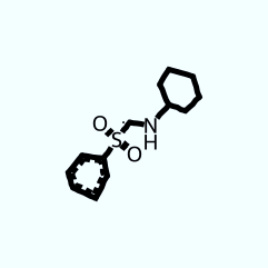 O=S(=O)([CH]NC1CCCCC1)c1ccccc1